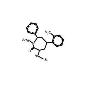 CC(=O)NN1C(=O)C(NC(C)(C)C)CC(c2ccccc2C)CC1c1ccccc1